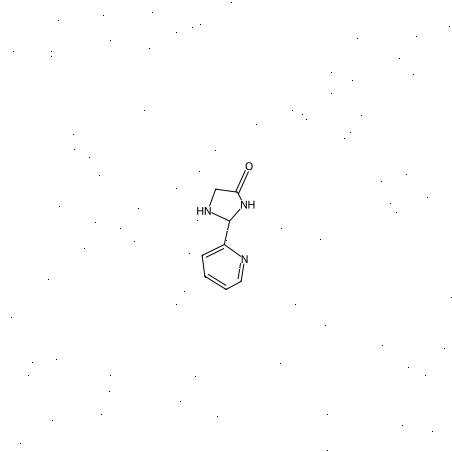 O=C1CNC(c2ccccn2)N1